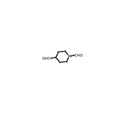 O=CC1CCN(C=O)CC1